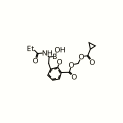 CCC(=O)NC1Cc2cccc(C(=O)OCOC(=O)C3CC3)c2OB1O